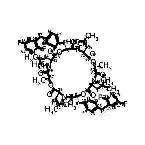 CC(C)C[C@H]1C(=O)O[C@H](Cc2ccc(Cc3cc(F)cnc3F)cc2)C(=O)N(C)[C@@H](CC(C)C)C(=O)O[C@H](C)C(=O)N(C)[C@@H](CC(C)C)C(=O)O[C@H](Cc2ccc(Cc3cc(F)cnc3F)cc2)C(=O)N(C)[C@@H](CC(C)C)C(=O)O[C@H](C)C(=O)N1C